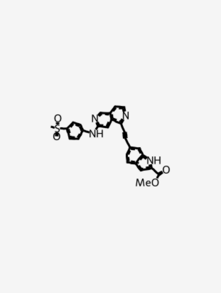 COC(=O)c1cc2ccc(C#Cc3nccc4cnc(Nc5ccc(S(C)(=O)=O)cc5)cc34)cc2[nH]1